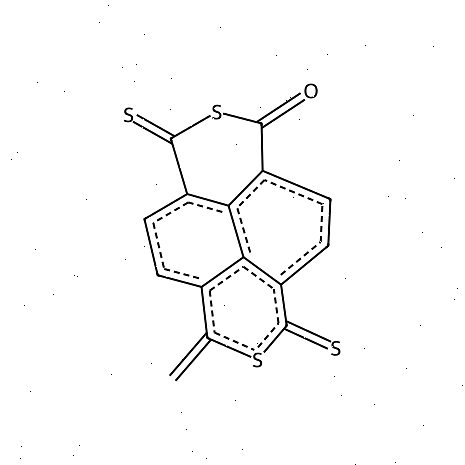 C=c1sc(=S)c2ccc3c4c(ccc1c42)C(=S)SC3=O